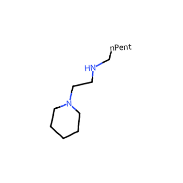 CCCCCCNCCN1CCCCC1